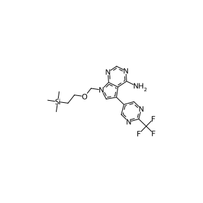 C[Si](C)(C)CCOCn1cc(-c2cnc(C(F)(F)F)nc2)c2c(N)ncnc21